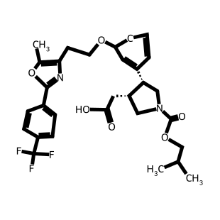 Cc1oc(-c2ccc(C(F)(F)F)cc2)nc1CCOC1C=C([C@@H]2CN(C(=O)OCC(C)C)C[C@@H]2CC(=O)O)C=CC1